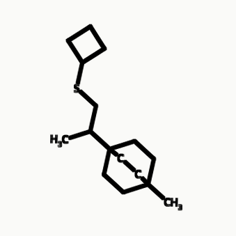 CC(CSC1CCC1)C12CCC(C)(CC1)CC2